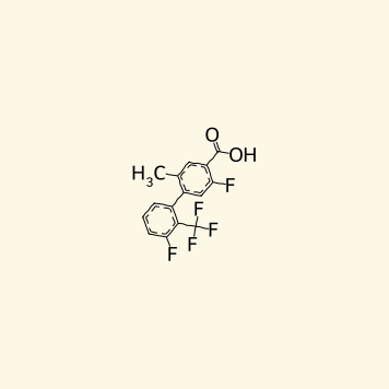 Cc1cc(C(=O)O)c(F)cc1-c1cccc(F)c1C(F)(F)F